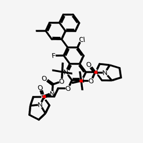 Cc1cc(-c2c(Cl)cc3c(N4CC5CCC(C4)N5C(=O)OC(C)(C)C)nc(OCCCN4C5CCC4CS(=O)(=NC(=O)OC(C)(C)C)C5)nc3c2F)c2ccccc2c1